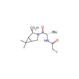 CC1(C)C2CN(C(=O)[C@@H](NC(=O)CI)C(C)(C)C)[C@H](C(=O)O)C21